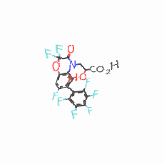 O=C(O)C(O)CN1C(=O)C(F)(F)Oc2cc(F)c(-c3c(F)c(F)c(F)c(F)c3F)cc21